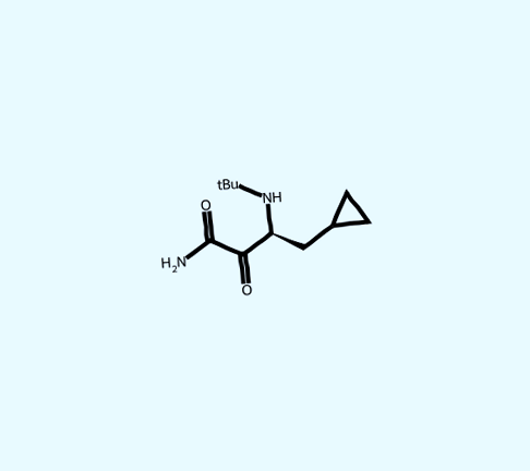 CC(C)(C)N[C@@H](CC1CC1)C(=O)C(N)=O